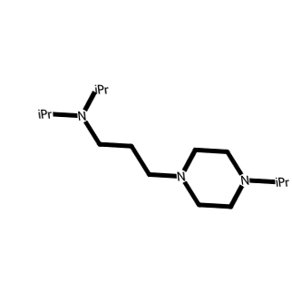 CC(C)N1CCN(CCCN(C(C)C)C(C)C)CC1